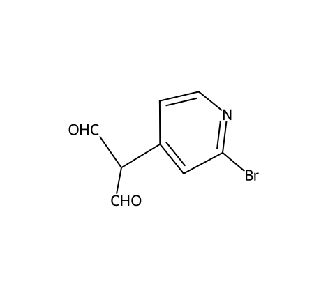 O=CC(C=O)c1ccnc(Br)c1